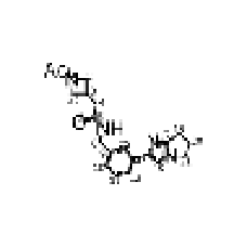 CC(=O)N1CC(CC(=O)NCc2cccc(-c3cn4c(n3)CCC4)c2)C1